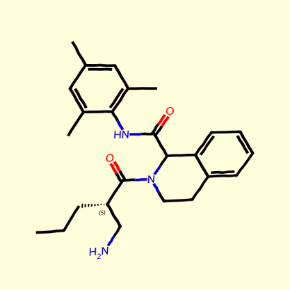 CCC[C@@H](CN)C(=O)N1CCc2ccccc2C1C(=O)Nc1c(C)cc(C)cc1C